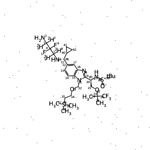 [2H]C([2H])(N)C(F)(F)C([2H])([2H])N[C@@H](c1ccc2c(c1)nc([C@H](COC(C)(C)C(F)(F)F)N[S@+]([O-])C(C)(C)C)n2COCC[Si](C)(C)C)C1CC1